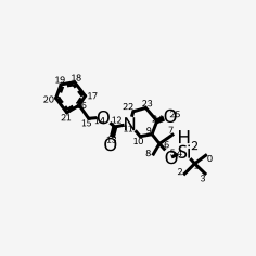 CC(C)(C)[SiH2]OC(C)(C)C1CN(C(=O)OCc2ccccc2)CCC1=O